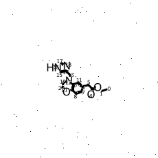 CCOC(=O)Cc1ccc2c(c1)N(Cc1c[nH]cn1)CCO2